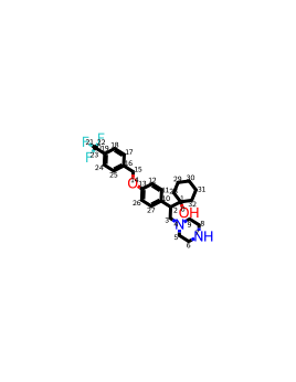 OC1(C(CN2CCNCC2)c2ccc(OCc3ccc(C(F)(F)F)cc3)cc2)CCCCC1